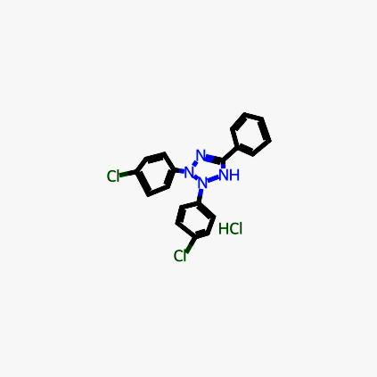 Cl.Clc1ccc(N2N=C(c3ccccc3)NN2c2ccc(Cl)cc2)cc1